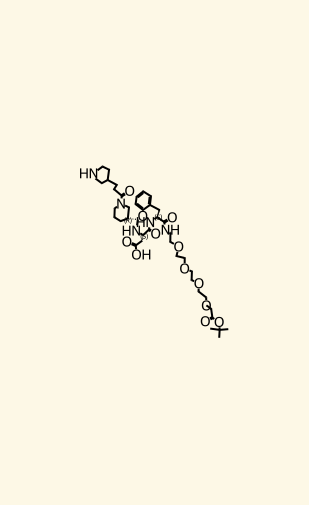 CC(C)(C)OC(=O)COCCOCCOCCOCCNC(=O)[C@H](Cc1ccccc1)NC(=O)[C@H](CC(=O)O)NC(=O)[C@@H]1CCCN(C(=O)CCC2CCNCC2)C1